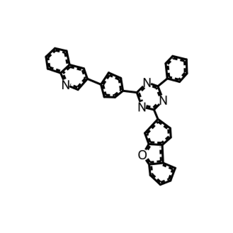 c1ccc(-c2nc(-c3ccc(-c4cnc5ccccc5c4)cc3)nc(-c3ccc4c(c3)oc3ccccc34)n2)cc1